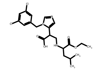 CCOC(=O)C(CC(C)C)NCC(C(=O)O)c1cncn1Cc1cc(Cl)cc(Cl)c1